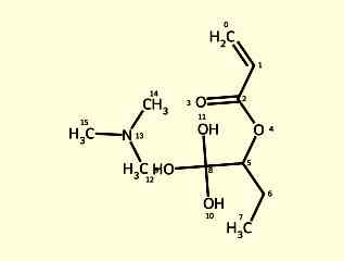 C=CC(=O)OC(CC)C(O)(O)O.CN(C)C